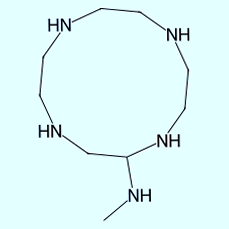 CNC1CNCCNCCNCCN1